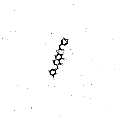 O=C(Cc1ccncc1)Nc1cn2ccn(Cc3cccc(Cl)c3)c(=O)c2c(O)c1=O